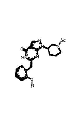 CCOc1ccccc1Cc1nc2c(cnn2C2CCCN(C(C)=O)C2)c(=O)[nH]1